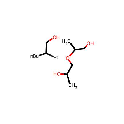 CC(O)COC(C)CO.CCCCC(CC)CO